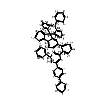 C1=C(c2ccc(-c3ccccc3)cc2)NC(c2ccccc2)N=C1c1ccccc1-c1ccc2c(c1)C1(c3ccccc3-2)c2ccccc2N(c2ccccc2)c2ccccc21